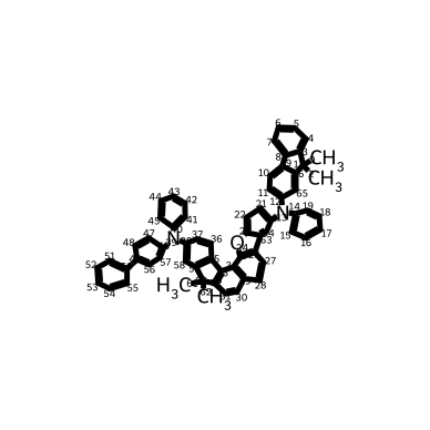 CC1(C)c2ccccc2-c2ccc(N(c3ccccc3)c3ccc4oc5c(ccc6ccc7c(c65)-c5ccc(N(c6ccccc6)c6ccc(-c8ccccc8)cc6)cc5C7(C)C)c4c3)cc21